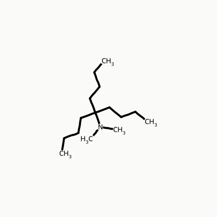 CCCCC(CCCC)(CCCC)N(C)C